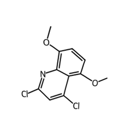 COc1ccc(OC)c2c(Cl)cc(Cl)nc12